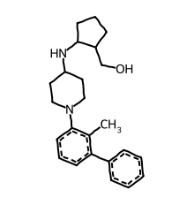 Cc1c(-c2ccccc2)cccc1N1CCC(NC2CCCC2CO)CC1